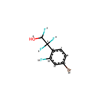 OC(F)C(F)(F)c1ccc(Br)cc1F